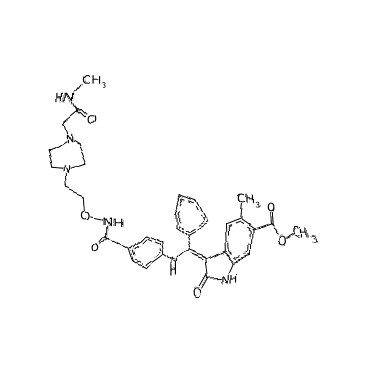 CNC(=O)CN1CCN(CCONC(=O)c2ccc(N/C(=C3\C(=O)Nc4cc(C(=O)OC)c(C)cc43)c3ccccc3)cc2)CC1